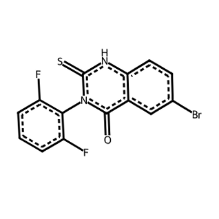 O=c1c2cc(Br)ccc2[nH]c(=S)n1-c1c(F)cccc1F